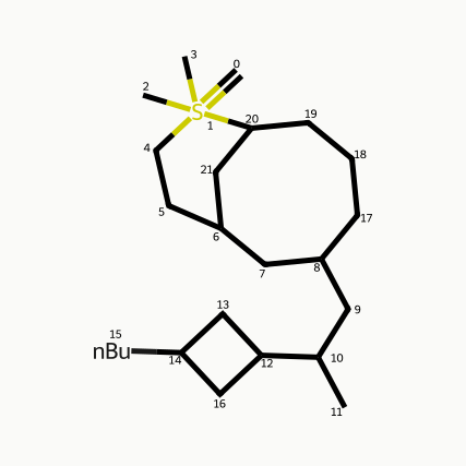 C=S1(C)(C)CCC2CC(CC(C)C3CC(CCCC)C3)CCCC1C2